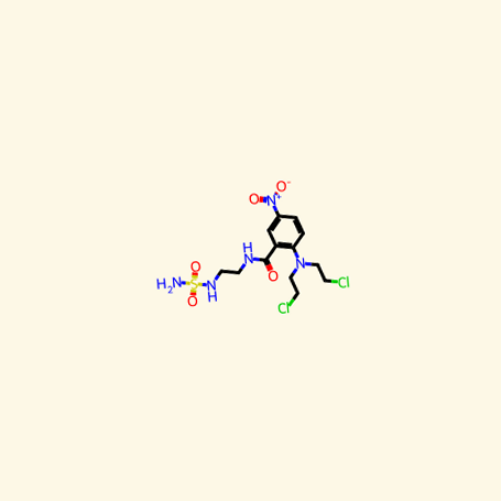 NS(=O)(=O)NCCNC(=O)c1cc([N+](=O)[O-])ccc1N(CCCl)CCCl